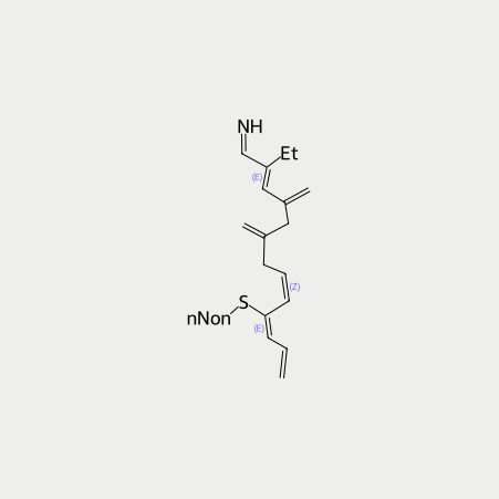 C=C/C=C(\C=C/CC(=C)CC(=C)/C=C(/C=N)CC)SCCCCCCCCC